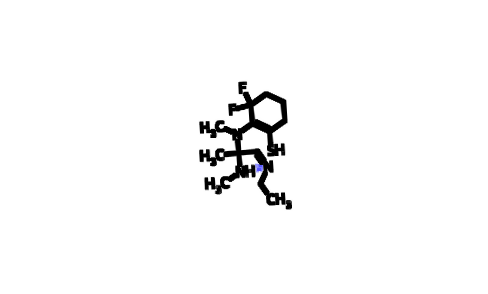 CC/N=C\C(C)(NC)N(C)C1=C(S)CCCC1(F)F